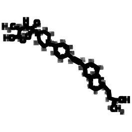 C=C(O)C=Cc1ccc2cc(C#Cc3ccc(N4CCN(S(=O)(=O)N[C@H](C)C(=O)O)CC4)cc3)ccc2c1